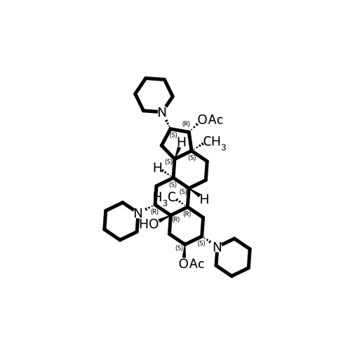 CC(=O)O[C@H]1C[C@]2(O)[C@H](N3CCCCC3)C[C@H]3[C@@H]4C[C@H](N5CCCCC5)[C@H](OC(C)=O)[C@@]4(C)CC[C@@H]3[C@@]2(C)C[C@@H]1N1CCCCC1